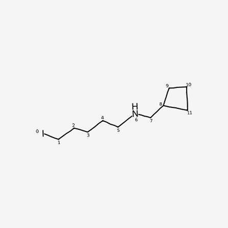 ICCCCCNCC1CCC1